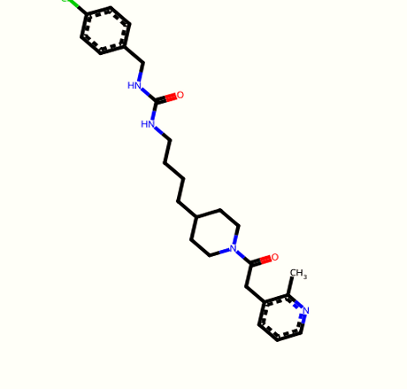 Cc1ncccc1CC(=O)N1CCC(CCCCNC(=O)NCc2ccc(Cl)cc2)CC1